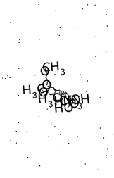 COCCCOc1cc(C[C@H](CC(CO)NC(=O)O)C(C)C)ccc1OC